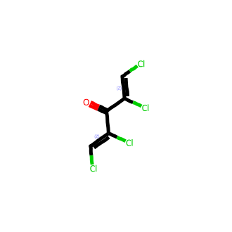 O=C(/C(Cl)=C/Cl)/C(Cl)=C/Cl